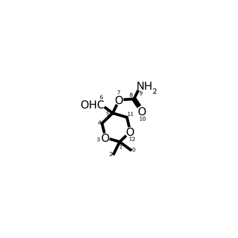 CC1(C)OCC(C=O)(OC(N)=O)CO1